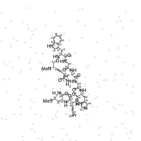 CN[C@@H](C#CCC(N)=O)CON[C@@H](Cc1c[nH]c2ccccc12)C(=O)NCC(=O)N[C@H](C(=O)NCC(=O)N[C@@H](Cc1cnc[nH]1)C(=O)NC(C#CC(C)C)C(=O)N[C@@H](CCSC)C(N)=O)C(C)C